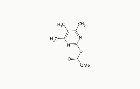 COC(=O)Oc1nc(C)c(C)c(C)n1